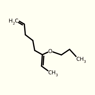 C=CCCCC(=CC)OCCC